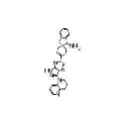 N[C@@H]1c2ccccc2C[C@]12CC=C(c1cnc3c(N4CCCc5ncccc54)n[nH]c3n1)CC2